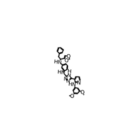 COc1cc(Nc2ncccc2-c2nnc(Nc3cccc(NC(Cc4ccccc4)C4=COCO4)c3)[nH]2)cc(OC)c1